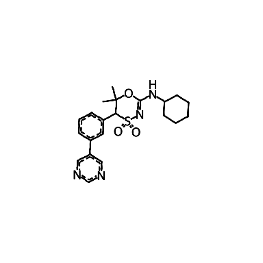 CC1(C)OC(NC2CCCCC2)=NS(=O)(=O)C1c1cccc(-c2cncnc2)c1